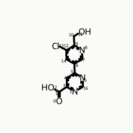 O=C(O)c1cc(-c2cnc(CO)c(Cl)c2)ncn1